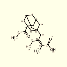 COC(=O)C12CC3CC(CC(CC(CO)=C(C)C(=O)O)(C3)C1)C2